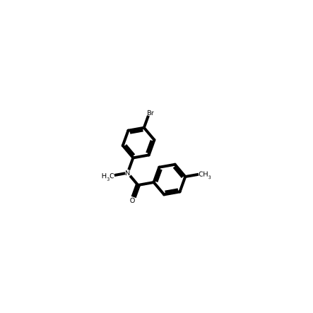 Cc1ccc(C(=O)N(C)c2ccc(Br)cc2)cc1